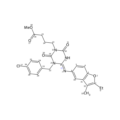 CCc1oc2ccc(/N=c3\[nH]c(=O)n(CCCC(=O)OC)c(=O)n3Cc3ccc(Cl)cc3)cc2c1C